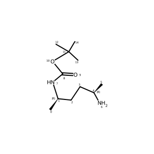 C[C@H](CC[C@@H](C)N)NC(=O)OC(C)(C)C